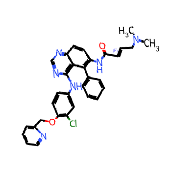 CN(C)C/C=C/C(=O)Nc1ccc2ncnc(Nc3ccc(OCc4ccccn4)c(Cl)c3)c2c1-c1ccccc1